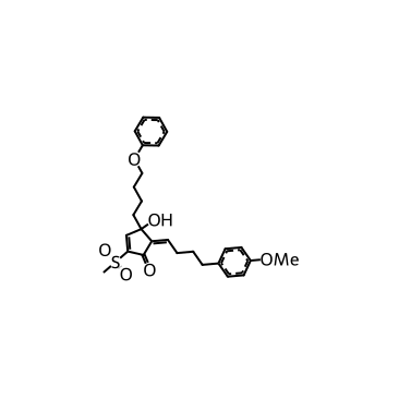 COc1ccc(CCCC=C2C(=O)C(S(C)(=O)=O)=CC2(O)CCCCOc2ccccc2)cc1